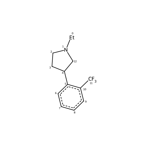 CCN1CCC(c2ccccc2C(F)(F)F)C1